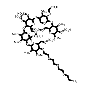 CCC1(C(=O)O)OC(OC2C(COS(=O)(=O)O)OC(OC3COC(OC4C(COS(=O)(=O)O)OC(OC)C(OS(=O)(=O)O)C4OC)[C@H](OCC(=O)O)C3OC)C(OS(=O)(=O)O)C2OS(=O)(=O)O)C(OC)C(OC)C1OC1OC(COS(=O)(=O)O)C(OCCOCCOCCOCCN)C(OC)C1OC